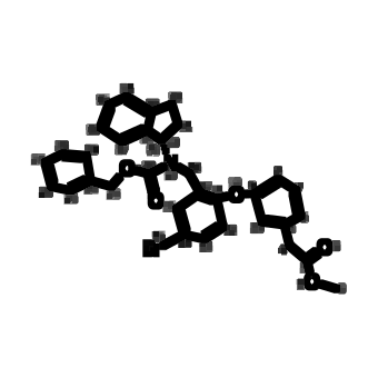 COC(=O)Cc1cccc(Oc2ccc(Br)cc2CN(C(=O)OCc2ccccc2)[C@H]2CCc3ccccc32)c1